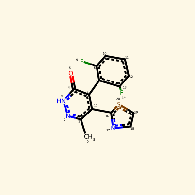 Cc1n[nH]c(=O)c(-c2c(F)cccc2F)c1-c1nccs1